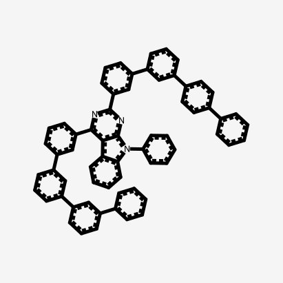 c1ccc(-c2ccc(-c3cccc(-c4cccc(-c5nc(-c6cccc(-c7cccc(-c8cccc(-c9ccccc9)c8)c7)c6)c6c7ccccc7n(-c7ccccc7)c6n5)c4)c3)cc2)cc1